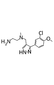 COc1ccc(-c2n[nH]cc2CN(C)CCN)cc1Cl